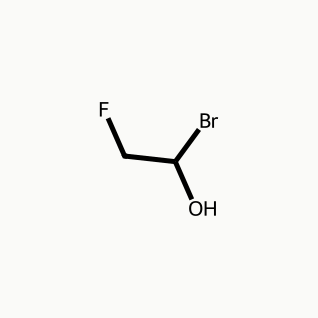 OC(Br)CF